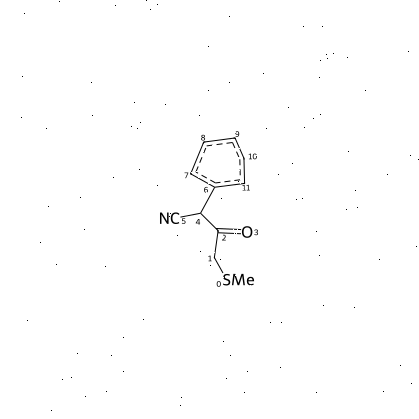 CSCC(=O)C(C#N)c1ccccc1